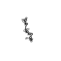 CC(C)c1cc(-c2cccc3cc(-c4ccc(C(=O)NCC#Cc5cccc(OC6CCC(=O)NC6=O)n5)nc4)ncc23)cc2c1n(C)c(=O)n2C